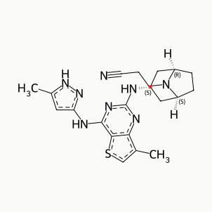 Cc1cc(Nc2nc(N[C@@H]3C[C@H]4CC[C@@H](C3)N4CCC#N)nc3c(C)csc23)n[nH]1